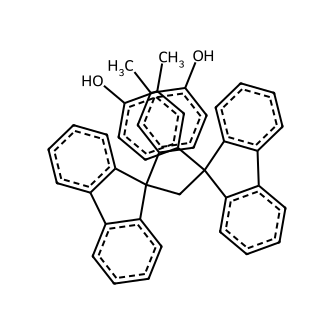 Cc1cc(C2(CC3(c4ccc(O)c(C)c4)c4ccccc4-c4ccccc43)c3ccccc3-c3ccccc32)ccc1O